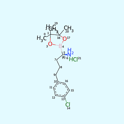 CC1(C)OB([C@@H](N)CCCc2ccc(Cl)cc2)OC1(C)C.Cl